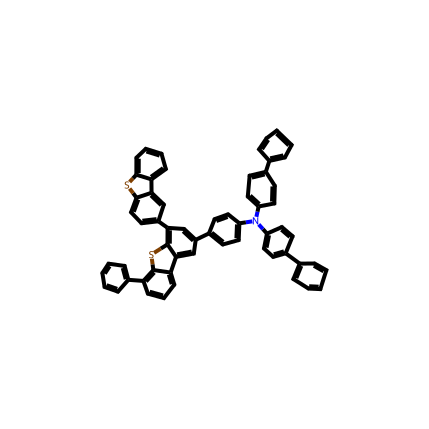 c1ccc(-c2ccc(N(c3ccc(-c4ccccc4)cc3)c3ccc(-c4cc(-c5ccc6sc7ccccc7c6c5)c5sc6c(-c7ccccc7)cccc6c5c4)cc3)cc2)cc1